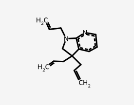 C=CCN1CC(CC=C)(CC=C)c2cccnc21